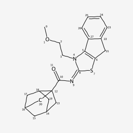 COCCn1c2c(sc1=NC(=O)C13CC4CC(CC1C4)C3)Cc1ccccc1-2